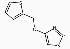 [c]1nc(OCc2cccs2)cs1